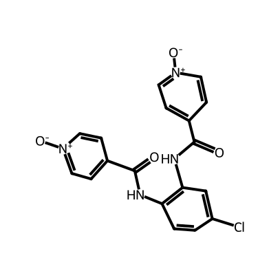 O=C(Nc1ccc(Cl)cc1NC(=O)c1cc[n+]([O-])cc1)c1cc[n+]([O-])cc1